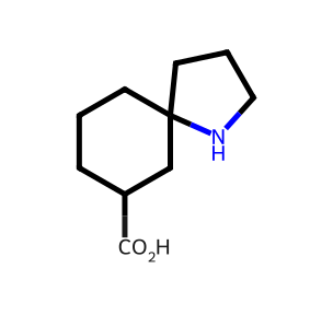 O=C(O)C1CCCC2(CCCN2)C1